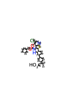 O=C(Nc1c(-c2ccc(-c3ccc(C4(C(=O)O)CC4)cc3)cc2)sc2ncc(Cl)cc12)OCc1ccccc1